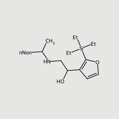 CCCCCCCCCC(C)NCC(O)c1ccoc1[Si](CC)(CC)CC